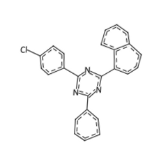 Clc1ccc(-c2nc(-c3ccccc3)nc(-c3cccc4ccccc34)n2)cc1